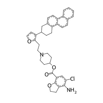 Nc1c(Cl)cc(C(=O)OC2CCN(CCc3occc3C3CCc4c(ccc5c4ccc4ccccc45)C3)CC2)c2c1CCO2